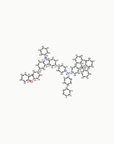 c1ccc(-c2ccc(N(c3ccc(-c4ccc5c(c4)c4cc(-c6ccc7oc8ccccc8c7c6)ccc4n5-c4ccccc4)cc3)c3ccc([Si](c4ccccc4)(c4ccccc4)c4ccccc4)cc3)cc2)cc1